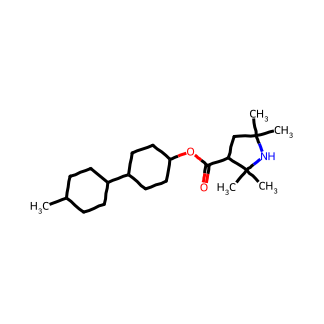 CC1CCC(C2CCC(OC(=O)C3CC(C)(C)NC3(C)C)CC2)CC1